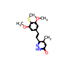 COc1cc(C=Cc2n[nH]c(=O)cc2C)cc(OC)c1SC